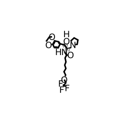 O=C(CCCCCCOCC(F)(F)F)N[C@H](CN1CCCC1)[C@@H](O)c1ccc2c(c1)OCCO2